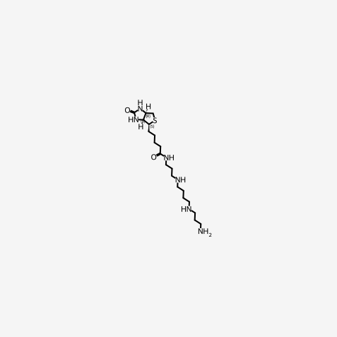 NCCCNCCCCNCCCNC(=O)CCCC[C@@H]1SC[C@@H]2NC(=O)N[C@@H]21